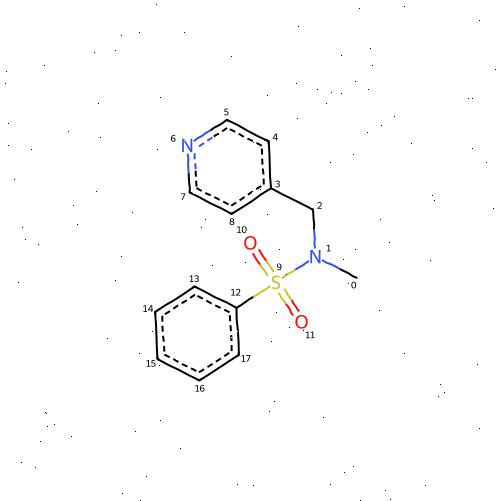 CN(Cc1ccncc1)S(=O)(=O)c1ccccc1